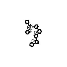 c1cc(-c2ccc3oc4c(-c5cccc(C6N=C(c7ccccc7)N=C(c7ccccc7)N6)c5)cccc4c3c2)c2oc3ccccc3c2c#1